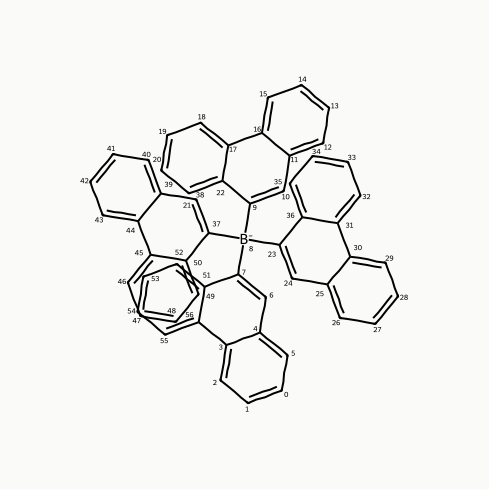 c1ccc2c(c1)cc([B-](c1cc3ccccc3c3ccccc13)(c1cc3ccccc3c3ccccc13)c1cc3ccccc3c3ccccc13)c1ccccc12